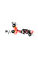 Cc1ccc(S(=O)(=O)OCC(CO[C@H]2CC[C@@]3(C)[C@H](CC[C@@H]4[C@@H]3CC[C@]3(C)[C@@](O)(c5ccccc5)CC[C@]43O)C2)OS(=O)(=O)c2ccc(C)cc2)cc1